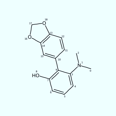 CN(C)c1cc[c]c(O)c1-c1ccc2c(c1)OCO2